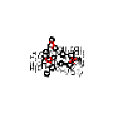 CC(C)(C)c1cc(-c2ccc3c(c2)Oc2cc(-c4ccccc4)cc4c2B3c2cc3c(cc2N4c2cc(C(C)(C)C)cc(C(C)(C)C)c2)N(c2c(-c4ccccc4)cccc2-c2ccccc2)c2cc(-c4ccccc4)cc4c2B3c2ccc(-c3cc(C(C)(C)C)cc(C(C)(C)C)c3)cc2O4)cc(C(C)(C)C)c1